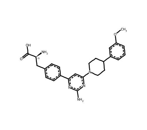 COc1cccc(C2CCN(c3cc(-c4ccc(C[C@H](N)C(=O)O)cc4)nc(N)n3)CC2)c1